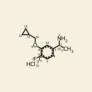 C[C@H](N)c1ccc(C(F)(F)F)c(OCC2CC2)c1.Cl